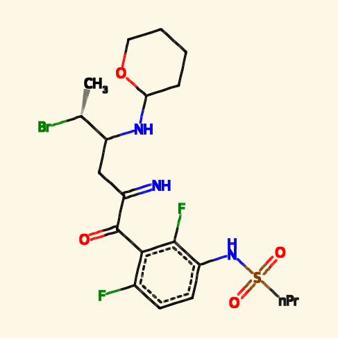 CCCS(=O)(=O)Nc1ccc(F)c(C(=O)C(=N)CC(NC2CCCCO2)[C@@H](C)Br)c1F